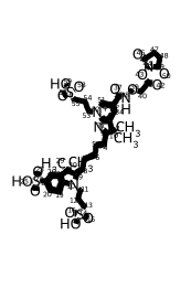 CC1(C)C(/C=C/C=C/C=C2/N(CCCS(=O)(=O)O)c3ccc(S(=O)(=O)O)cc3C2(C)C)=Nc2c1cc(C(=O)NOCC(=O)ON1C(=O)CCC1=O)c[n+]2CCCS(=O)(=O)O